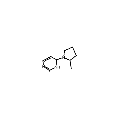 CC1CCCN1C1C=CN=[C]N1